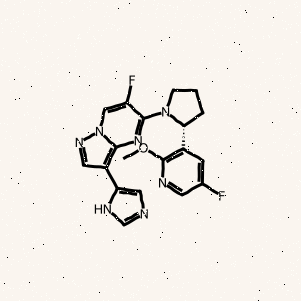 COc1ncc(F)cc1[C@H]1CCCN1c1nc2c(-c3cnc[nH]3)cnn2cc1F